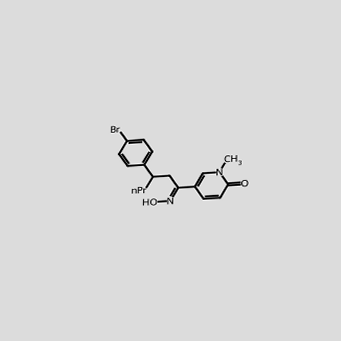 CCCC(CC(=NO)c1ccc(=O)n(C)c1)c1ccc(Br)cc1